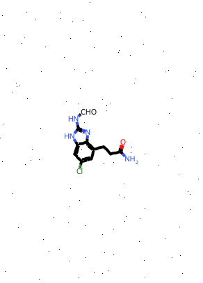 NC(=O)CCc1cc(Cl)cc2[nH]c(NC=O)nc12